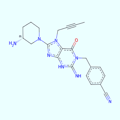 CC#CCn1c(N2CCC[C@@H](N)C2)nc2[nH]c(=N)n(Cc3ccc(C#N)cc3)c(=O)c21